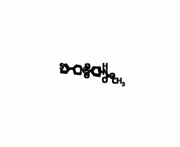 COC(=O)Nc1ccc(S(=O)(=O)N2CCC(c3ccsc3)CC2)cc1